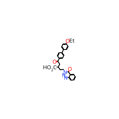 CCOc1ccc(-c2ccc(C(=O)CC(CCn3nnc4ccccc4c3=O)C(=O)O)cc2)cc1